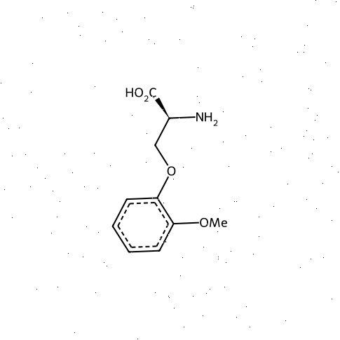 COc1ccccc1OC[C@H](N)C(=O)O